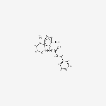 O=C(N[C@H]1[C@@H]2CC[C@@H](C2)C12CCCCC2)OCc1ccccc1